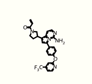 C=CC(=O)N1CCC(c2cc(-c3ccc(Oc4cc(C(F)(F)F)ccn4)cc3)n3c(N)nccc23)C1